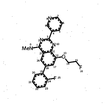 CNc1nc(-c2cccnc2)nc2c(OCCF)cc(-c3ccccc3F)cc12